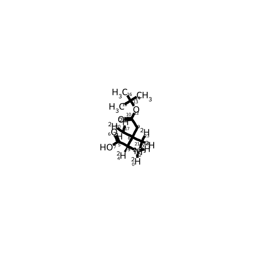 [2H]N([2H])[C@]([2H])(C(=O)O)C(CC(=O)OC(C)(C)C)(C([2H])([2H])[2H])C([2H])([2H])[2H]